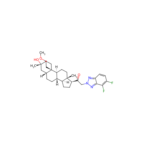 COCC[C@]12CC[C@@](C)(O)C[C@H]1CC[C@H]1[C@@H]3CC[C@H](C(=O)Cn4nc5ccc(F)c(F)c5n4)[C@@]3(C)CC[C@@H]12